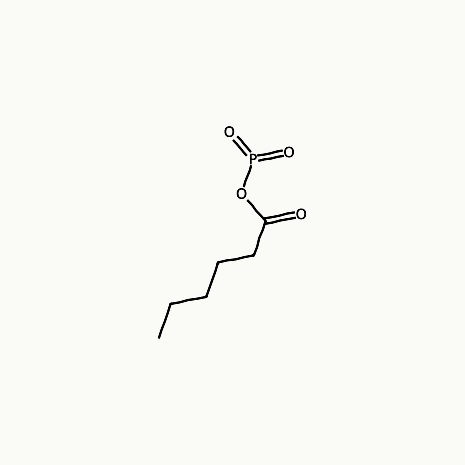 CCCCCC(=O)OP(=O)=O